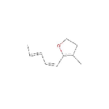 C/C=C/C=C\C1=C(C)CCO1